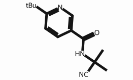 CC(C)(C#N)NC(=O)c1ccc(C(C)(C)C)nc1